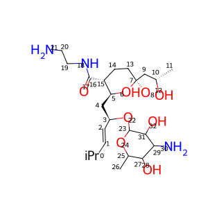 CC(C)/C=C/[C@@H](C[C@@H]1O[C@](O)(C[C@H](C)O)CC[C@H]1C(=O)NCCN)OC1OC(C)C(O)C(N)C1O